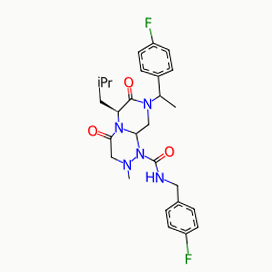 CC(C)C[C@H]1C(=O)N(C(C)c2ccc(F)cc2)CC2N1C(=O)CN(C)N2C(=O)NCc1ccc(F)cc1